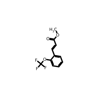 COC(=O)/C=C/c1ccccc1OC(F)(F)F